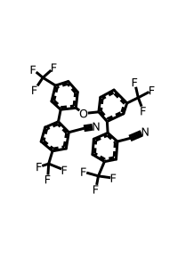 N#Cc1cc(C(F)(F)F)ccc1-c1cc(C(F)(F)F)ccc1Oc1ccc(C(F)(F)F)cc1-c1ccc(C(F)(F)F)cc1C#N